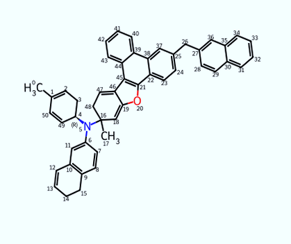 CC1=CC[C@@H](N(c2ccc3c(c2)C=CCC3)C2(C)C=c3oc4c5ccc(Cc6ccc7ccccc7c6)cc5c5ccccc5c4c3=CC2)C=C1